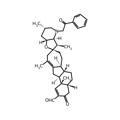 CC1=C2C[C@H]3[C@@H](CC[C@@H]4CC(=O)C(C=O)=C[C@@]43C)[C@@H]2CC[C@@]2(C1)O[C@@H]1C[C@H](C)CN(CC(=O)c3ccccc3)[C@H]1[C@H]2C